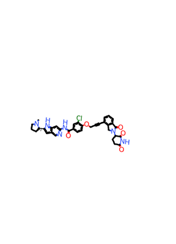 CN1CCC[C@@H]1c1cc2cnc(NC(=O)c3ccc(OCC#Cc4cccc5c4CN(C4CCC(=O)NC4=O)C5=O)c(Cl)c3)cc2[nH]1